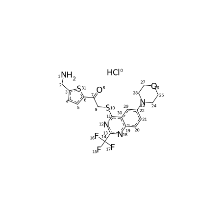 Cl.NCc1ccc(C(=O)CSc2nc(C(F)(F)F)nc3ccc(N4CCOCC4)cc23)s1